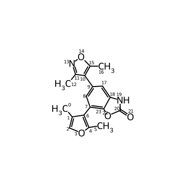 Cc1coc(C)c1-c1cc(-c2c(C)noc2C)cc2[nH]c(=O)oc12